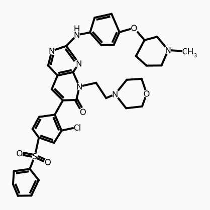 CN1CCCC(Oc2ccc(Nc3ncc4cc(-c5ccc(S(=O)(=O)c6ccccc6)cc5Cl)c(=O)n(CCN5CCOCC5)c4n3)cc2)C1